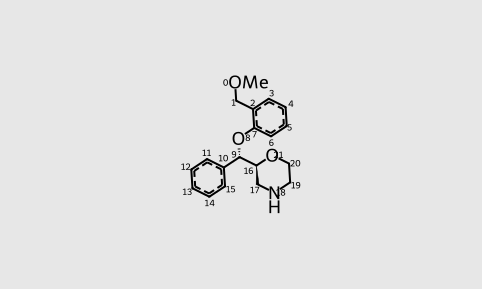 COCc1ccccc1O[C@@H](c1ccccc1)[C@@H]1CNCCO1